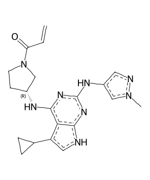 C=CC(=O)N1CC[C@@H](Nc2nc(Nc3cnn(C)c3)nc3[nH]cc(C4CC4)c23)C1